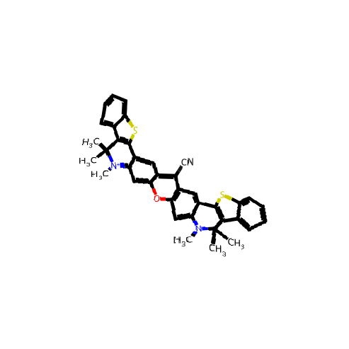 CN1c2cc3c(cc2-c2sc4ccccc4c2C1(C)C)C(C#N)=c1cc2c(cc1O3)=[N+](C)C(C)(C)c1c-2sc2ccccc12